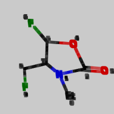 CCN1C(=O)OC(F)C1CF